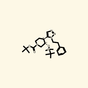 CC(C)(C)OC(=O)N1CC[C@@H](c2cnnn2CCc2ccccc2)[C@H](O[Si](C)(C)C(C)(C)C)C1